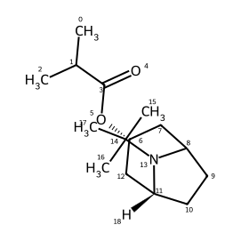 CC(C)C(=O)O[C@@H]1CC2CC[C@H](C1)N2C(C)(C)C